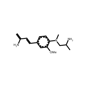 C=C(N)/C=C/c1ccc(N(C)CC(C)N)c(OC)c1